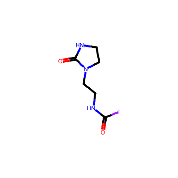 O=C(I)NCCN1CCNC1=O